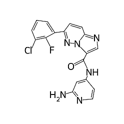 Nc1cc(NC(=O)c2cnc3ccc(-c4cccc(Cl)c4F)nn23)ccn1